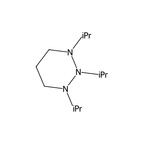 CC(C)N1CCCN(C(C)C)N1C(C)C